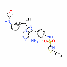 Cc1nc(S(=O)(=O)Nc2ccc(-c3nc(C(C)C)n4c(-c5ccc(NC6COC6)cc5)cnc(N)c34)cc2F)cs1